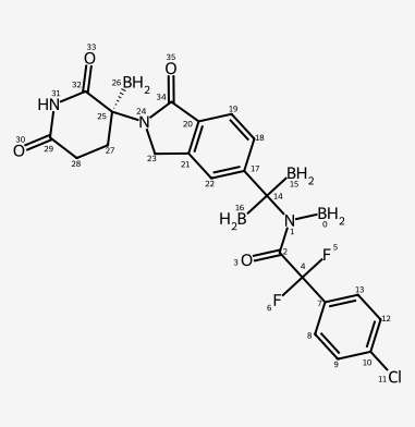 BN(C(=O)C(F)(F)c1ccc(Cl)cc1)C(B)(B)c1ccc2c(c1)CN([C@@]1(B)CCC(=O)NC1=O)C2=O